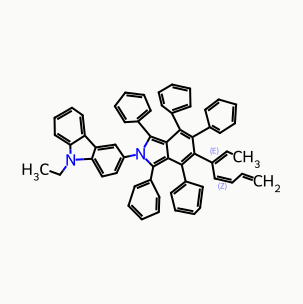 C=C/C=C\C(=C/C)c1c(-c2ccccc2)c(-c2ccccc2)c2c(-c3ccccc3)n(-c3ccc4c(c3)c3ccccc3n4CC)c(-c3ccccc3)c2c1-c1ccccc1